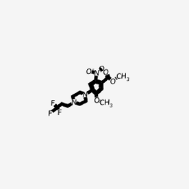 COC(=O)c1cc(OC)c(N2CCN(CCC(F)(F)F)CC2)cc1[N+](=O)[O-]